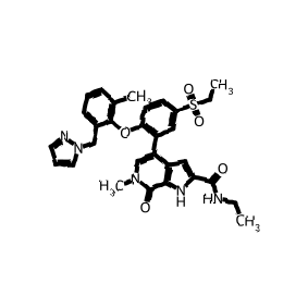 CCNC(=O)c1cc2c(-c3cc(S(=O)(=O)CC)ccc3Oc3c(C)cccc3Cn3cccn3)cn(C)c(=O)c2[nH]1